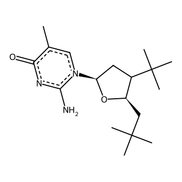 Cc1cn([C@H]2CC(C(C)(C)C)[C@@H](CC(C)(C)C)O2)c(N)nc1=O